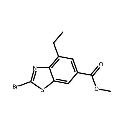 CCc1cc(C(=O)OC)cc2sc(Br)nc12